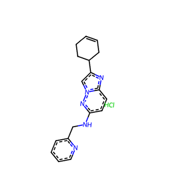 C1=CCC(c2cn3nc(NCc4ccccn4)ccc3n2)CC1.Cl